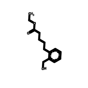 CCOC(=O)CCCCc1ccccc1CO